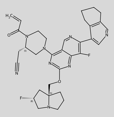 C=CC(=O)N1CCN(c2nc(OC[C@@]34CCCN3C[C@H](F)C4)nc3c(F)c(-c4cncc5c4CCCC5)ncc23)C[C@@H]1CC#N